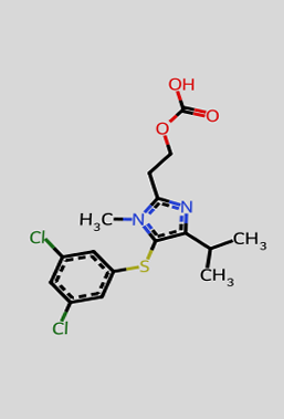 CC(C)c1nc(CCOC(=O)O)n(C)c1Sc1cc(Cl)cc(Cl)c1